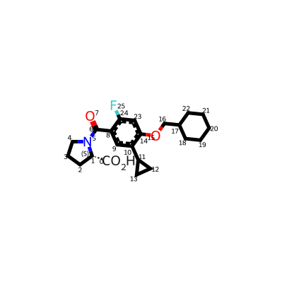 O=C(O)[C@@H]1CCCN1C(=O)c1cc(C2CC2)c(OCC2CCCCC2)cc1F